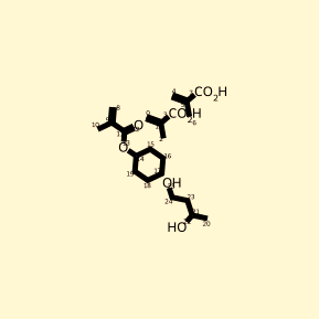 C=C(C)C(=O)O.C=C(C)C(=O)O.C=C(C)C(=O)OC1CCCCC1.CC(O)CCO